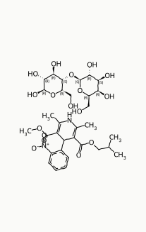 COC(=O)C1=C(C)NC(C)=C(C(=O)OCC(C)C)C1c1ccccc1[N+](=O)[O-].OC[C@H]1O[C@@H](O[C@H]2[C@H](O)[C@@H](O)[C@H](O)O[C@@H]2CO)[C@H](O)[C@@H](O)[C@H]1O